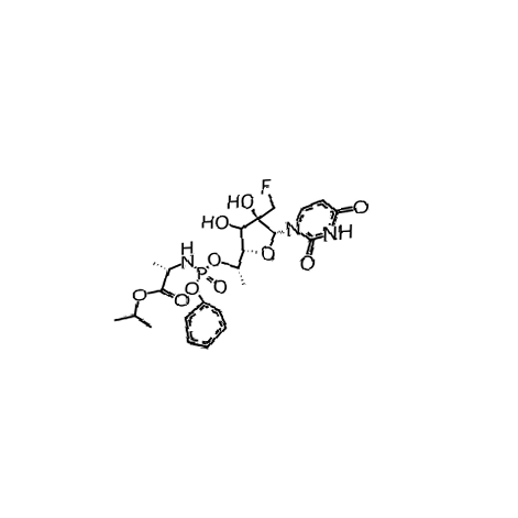 CC(C)OC(=O)[C@H](C)N[P@](=O)(Oc1ccccc1)O[C@@H](C)[C@H]1O[C@@H](n2ccc(=O)[nH]c2=O)[C@@](O)(CF)C1O